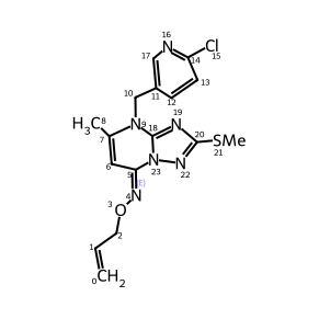 C=CCO/N=c1\cc(C)n(Cc2ccc(Cl)nc2)c2nc(SC)nn12